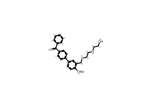 COc1ccc(-c2ccc(C(=O)c3ccccc3)cc2)cc1COCCOCCO